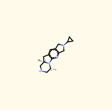 C[C@@H]1CNC[C@H]2Cc3cc4c(nc3N21)CN(C1CC1)C4